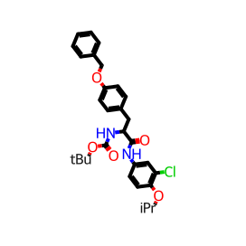 CC(C)Oc1ccc(NC(=O)C(Cc2ccc(OCc3ccccc3)cc2)NC(=O)OC(C)(C)C)cc1Cl